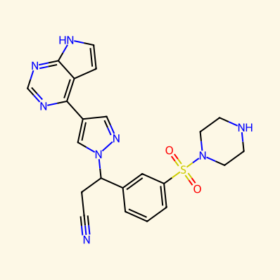 N#CCC(c1cccc(S(=O)(=O)N2CCNCC2)c1)n1cc(-c2ncnc3[nH]ccc23)cn1